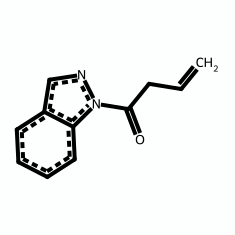 C=CCC(=O)n1ncc2ccccc21